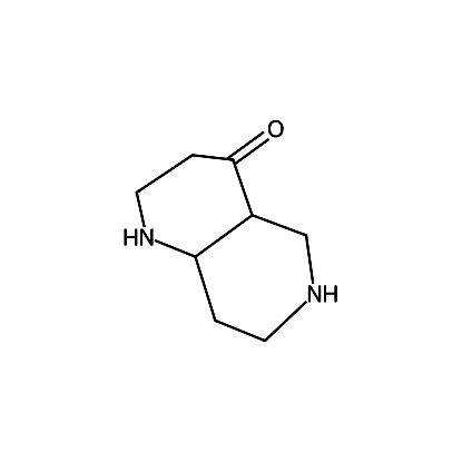 O=C1CCNC2CCNCC12